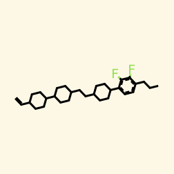 C=CC1CCC(C2CCC(CCC3CCC(c4ccc(CCC)c(F)c4F)CC3)CC2)CC1